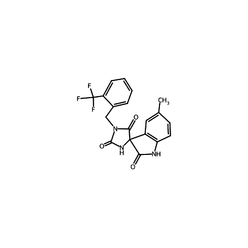 Cc1ccc2c(c1)C1(NC(=O)N(Cc3ccccc3C(F)(F)F)C1=O)C(=O)N2